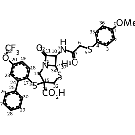 COc1ccc(SCC(=O)N[C@@H]2C(=O)N3CC(Sc4ccc(OC(F)(F)F)cc4-c4ccccc4)(C(=O)O)CS[C@H]23)cc1